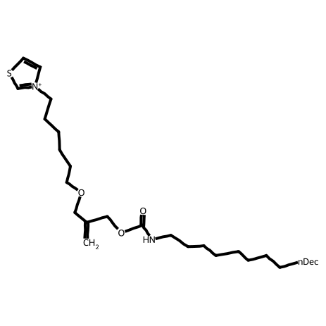 C=C(COCCCCCC[n+]1ccsc1)COC(=O)NCCCCCCCCCCCCCCCCCC